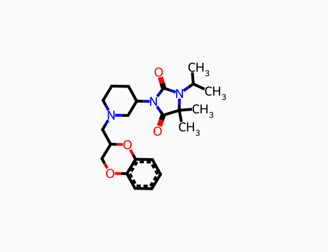 CC(C)N1C(=O)N(C2CCCN(CC3COc4ccccc4O3)C2)C(=O)C1(C)C